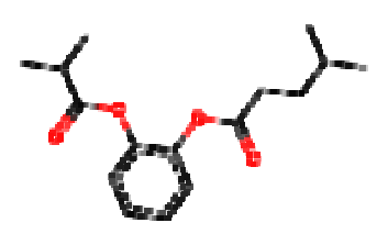 CC(C)CCC(=O)Oc1ccccc1OC(=O)C(C)C